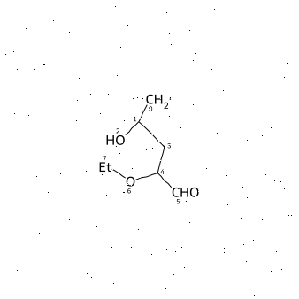 [CH2]C(O)CC(C=O)OCC